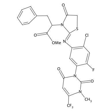 COC(=O)C(Cc1ccccc1)N1C(=O)CS/C1=N\c1cc(-n2c(=O)cc(C(F)(F)F)n(C)c2=O)c(F)cc1Cl